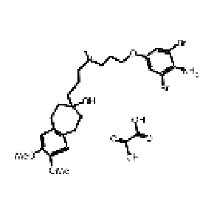 COc1cc2c(cc1OC)CCC(O)(CCCN(C)CCCOc1cc(Br)c(N)c(Br)c1)CC2.O=C(O)C(=O)O